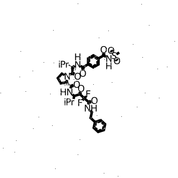 CC(C)C(NC(=O)[C@@H]1CCCN1C(=O)[C@@H](NC(=O)c1ccc(C(=O)NS(C)(=O)=O)cc1)C(C)C)C(=O)C(F)(F)C(=O)NCCc1ccccc1